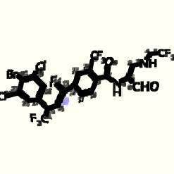 O=CC(CNCC(F)(F)F)NC(=O)c1ccc(/C(F)=C/C(c2cc(Cl)c(Br)c(Cl)c2)C(F)(F)F)cc1C(F)(F)F